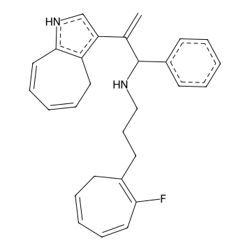 C=C(c1c[nH]c2c1CC=CC=C2)C(NCCCC1=C(F)C=CC=CC1)c1ccccc1